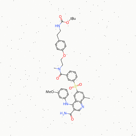 COc1cccc(Nc2c(C(N)=O)cnc3c(C)cc(S(=O)(=O)c4cccc(C(=O)N(C)CCOc5ccc(CCNC(=O)OC(C)(C)C)cc5)c4)cc23)c1